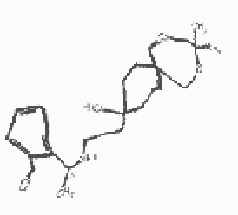 C[C@H](NCCC1(O)CCC2(CC1)COC(C)(C)OC2)c1ccccc1Cl